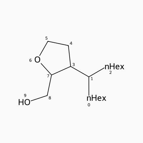 CCCCCCC(CCCCCC)C1CCOC1CO